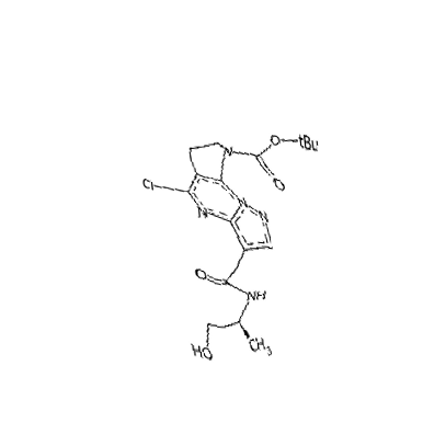 C[C@@H](CO)NC(=O)c1cnn2c3c(c(Cl)nc12)CCN3C(=O)OC(C)(C)C